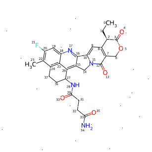 CC[C@H]1C(=O)OCc2c1cc1n(c2=O)Cc2c-1nc1cc(F)c(C)c3c1c2C(NC(=O)CCC(N)=O)CC3